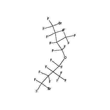 FC(F)(F)C(F)(C(F)(F)OC(F)(F)C(F)(C(F)(F)F)C(F)(F)C(F)(F)Br)C(F)(F)C(F)(F)Br